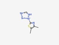 Cc1nc(-[n+]2nnc[nH]2)sc1C